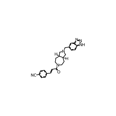 N#Cc1ccc(/C=C/C(=O)N2CC[C@@H]3CN(Cc4ccc5[nH]nnc5c4)C[C@@H]3CC2)cc1